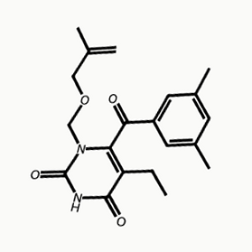 C=C(C)COCn1c(C(=O)c2cc(C)cc(C)c2)c(CC)c(=O)[nH]c1=O